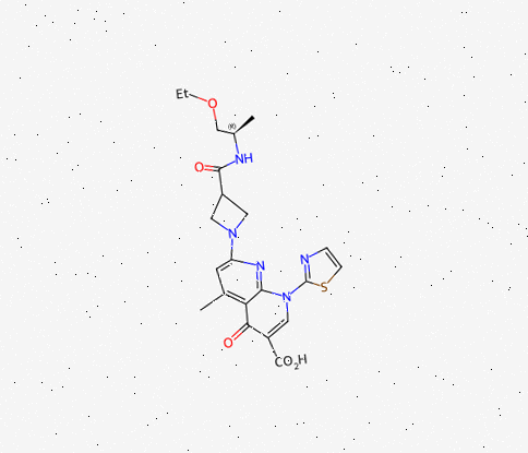 CCOC[C@@H](C)NC(=O)C1CN(c2cc(C)c3c(=O)c(C(=O)O)cn(-c4nccs4)c3n2)C1